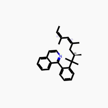 C/C=C(C)\C=C(\C)C[C@@H](C)C(C)(C)c1ccccc1-c1nccc2ccccc12